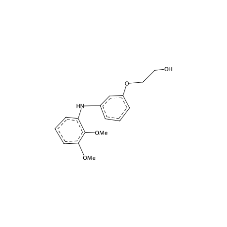 COc1cccc(Nc2cccc(OCCO)c2)c1OC